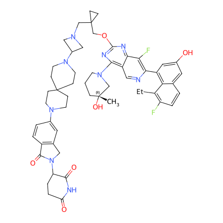 CCc1c(F)ccc2cc(O)cc(-c3ncc4c(N5CCC[C@@](C)(O)C5)nc(OCC5(CN6CC(N7CCC8(CCN(c9ccc%10c(c9)CN(C9CCC(=O)NC9=O)C%10=O)CC8)CC7)C6)CC5)nc4c3F)c12